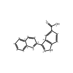 O=C(O)c1ccc2[nH]nc(-c3ccc4ccccc4n3)c2c1